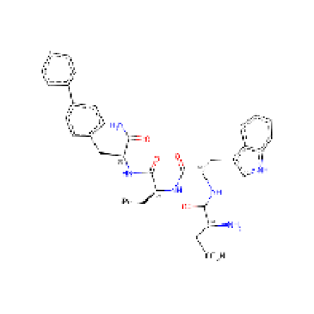 CC(C)C[C@H](NC(=O)[C@H](Cc1c[nH]c2ccccc12)NC(=O)[C@@H](N)CC(=O)O)C(=O)N[C@@H](Cc1ccc(-c2ccccc2)cc1)C(N)=O